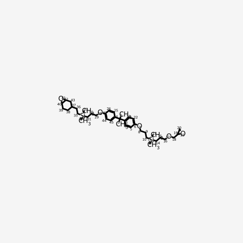 CC(C)(c1ccc(OCCC[Si](C)(C)CCCOCC2CO2)cc1)c1ccc(OCCC[Si](C)(C)CCC2CCC3OC3C2)cc1